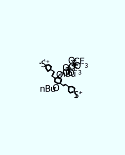 CCCCOc1cc(C=Cc2ccc([S+](C)C)cc2)c(OCCCC)cc1C=Cc1ccc([S+](C)C)cc1.O=S(=O)([O-])C(F)(F)F.O=S(=O)([O-])C(F)(F)F